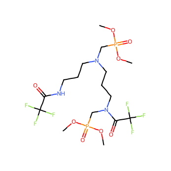 COP(=O)(CN(CCCNC(=O)C(F)(F)F)CCCN(CP(=O)(OC)OC)C(=O)C(F)(F)F)OC